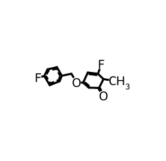 CC1C(=O)C=C(OCc2ccc(F)cc2)C=C1F